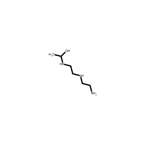 [CH2]C(O)NCCNCCN